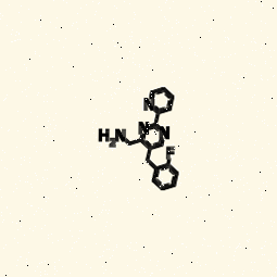 NCc1nc(-c2ccccn2)ncc1Cc1ccccc1F